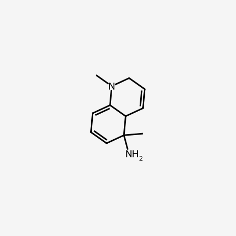 CN1CC=CC2C1=CC=CC2(C)N